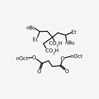 CCCCC(CC)CC(CC(=O)O)(CC(CC)CCCC)C(=O)O.CCCCCCCCOC(=O)CCC(=O)OCCCCCCCC